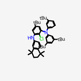 CC(C)(C)c1cccc(N(c2cc(C(C)(C)C)cc(C(C)(C)C)c2)c2cc(C(C)(C)C)cc(Nc3ccc4c(c3)C(C)(C)CCC4(C)C)c2Cl)c1